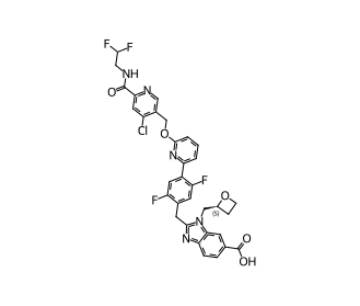 O=C(O)c1ccc2nc(Cc3cc(F)c(-c4cccc(OCc5cnc(C(=O)NCC(F)F)cc5Cl)n4)cc3F)n(C[C@@H]3CCO3)c2c1